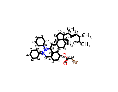 CC(C)[C@@H](C)/C=C/[C@@H](C)C1CCC2/C(=C/C3C4=C(CC[C@H](OC(=O)CBr)C4)CN(C4CCCCC4)N3C3CCCCC3)CCCC21C